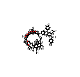 CC(C)/N=c1\cc2n(-c3ccc(Cl)cc3)c3ccccc3nc-2cc1Nc1ccc(Cl)cc1.CO[C@H]1/C=C/O[C@@]2(C)Oc3c(C)c(O)c4c(O)c(c(/C=N/N5CCN(C)CC5)c(O)c4c3C2=O)NC(=O)/C(C)=C\C=C\[C@H](C)[C@H](O)[C@@H](C)[C@@H](O)[C@@H](C)[C@H](OC(C)=O)[C@@H]1C